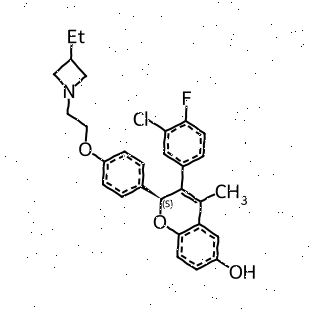 CCC1CN(CCOc2ccc([C@@H]3Oc4ccc(O)cc4C(C)=C3c3ccc(F)c(Cl)c3)cc2)C1